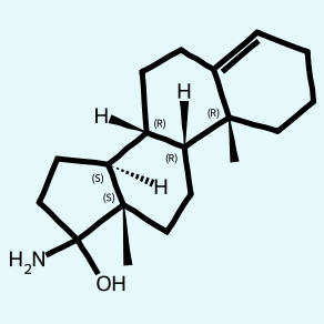 C[C@]12CCCC=C1CC[C@@H]1[C@H]2CC[C@@]2(C)[C@H]1CCC2(N)O